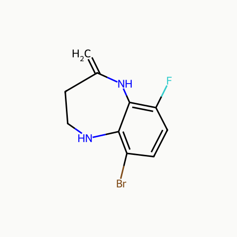 C=C1CCNc2c(Br)ccc(F)c2N1